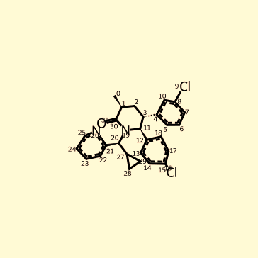 C[C@H]1C[C@H](c2cccc(Cl)c2)[C@@H](c2ccc(Cl)cc2)N([C@H](c2ccccn2)C2CC2)C1=O